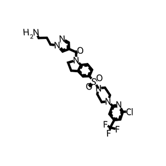 NCCCn1cc(C(=O)N2CCc3cc(S(=O)(=O)N4CCN(c5cc(C(F)(F)F)cc(Cl)n5)CC4)ccc32)cn1